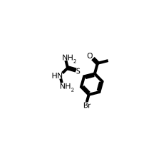 CC(=O)c1ccc(Br)cc1.NNC(N)=S